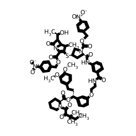 CCC(C)(C)C(=O)C(=O)N1CCCC[C@H]1C(=O)O[C@H](CCc1ccc(OC)c(OC)c1)c1cccc(OCCNC(=O)c2cccc(NC(=O)[C@@H]3C[C@H](SC4=C(C(=O)OCc5ccc([N+](=O)[O-])cc5)N5C(=O)C([C@@H](C)O)C5C4C)CN3C(=O)OCc3ccc([N+](=O)[O-])cc3)c2)c1